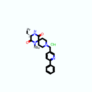 CCCCN1C(=O)[C@H](CC(C)C)NC(=O)C12CCN(Cc1ccc(-c3ccccc3)nc1)CC2.Cl